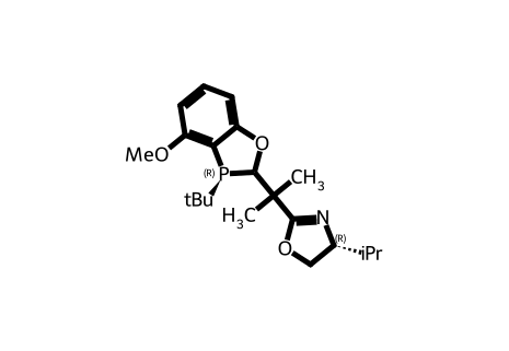 COc1cccc2c1[P@](C(C)(C)C)C(C(C)(C)C1=N[C@H](C(C)C)CO1)O2